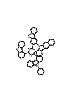 c1ccc(-n2c3ccccc3c3c(-c4nc(-c5cc6sc7ccccc7c6cc5-n5c6ccccc6c6cc7ccccc7cc65)nc(-c5cccc6sc7ccccc7c56)n4)cccc32)cc1